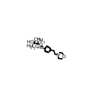 CC(C)(O)C(C)(C)OBc1ccc(CCN2CCOCC2)cc1